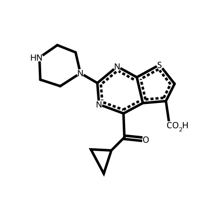 O=C(O)c1csc2nc(N3CCNCC3)nc(C(=O)C3CC3)c12